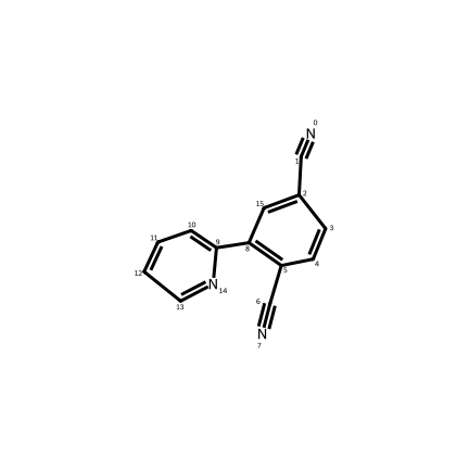 N#Cc1ccc(C#N)c(-c2ccccn2)c1